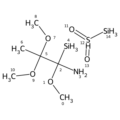 COC(N)([SiH3])C(C)(OC)OC.O=[SH](=O)[SiH3]